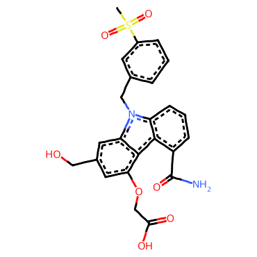 CS(=O)(=O)c1cccc(Cn2c3cc(CO)cc(OCC(=O)O)c3c3c(C(N)=O)cccc32)c1